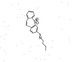 CCCCN=Cc1ccc2c(c1)S(=O)(=O)c1ccccc1C=C2